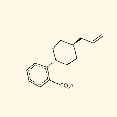 C=CC[C@H]1CC[C@H](c2ccccc2C(=O)O)CC1